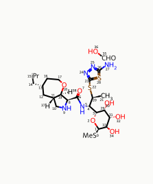 CS[C@H]1O[C@H]([C@H](NC(=O)[C@H]2NC[C@@H]3C[C@H](CC(C)C)CCO[C@H]32)[C@H](C)Sc2nnc(N)s2)[C@H](O)[C@H](O)[C@H]1O.O=CO